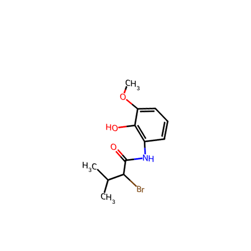 COc1cccc(NC(=O)C(Br)C(C)C)c1O